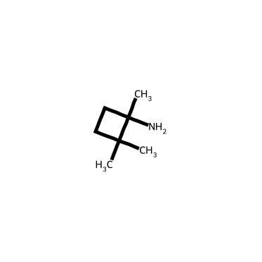 CC1(C)CCC1(C)N